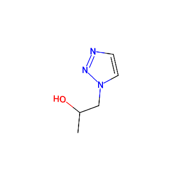 CC(O)Cn1ccnn1